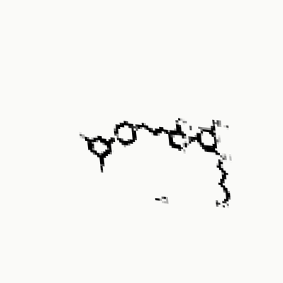 Cc1c(C=CCN2CCN(c3cc(F)cc(F)c3)CC2)cnn1-c1cc(NCCCCO)nc(N)n1.Cl